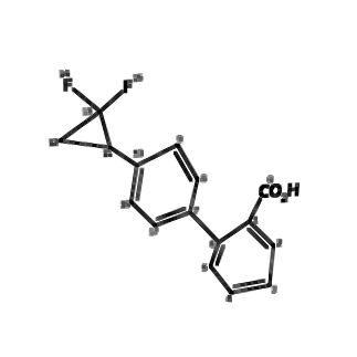 O=C(O)c1ccccc1-c1ccc(C2CC2(F)F)cc1